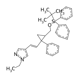 CCn1cc(C=CC2(c3ccccc3)CC2CO[Si](c2ccccc2)(c2ccccc2)C(C)(C)C)cn1